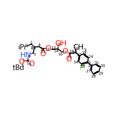 CC(C)C[C@H](CNC(=O)OC(C)(C)C)CC(=O)OCC(O)COC(=O)C(C)c1ccc(-c2ccccc2)c(F)c1